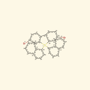 Brc1ccc2c(c1)S(c1cccc3ccccc13)(c1cccc3ccccc13)c1cc(Br)ccc1-2